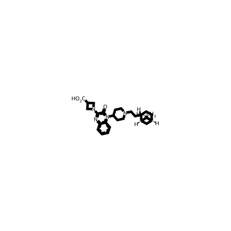 CC1(C)[C@H]2CC[C@@H](CCN3CCC(n4c(=O)c(N5CC(C(=O)O)C5)nc5ccccc54)CC3)[C@@H]1C2